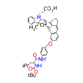 CC(C)CC(NC(=O)OC(C)(C)C)C(=O)Nc1ccc(COc2ccc3c(c2)SC2=C(/C=C/C4N(CCC(=O)O)c5ccccc5C4(C)C)CCCC2=C3)cc1